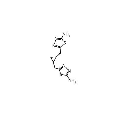 Nc1nnc(CC2C[C@H]2Cc2nnc(N)s2)s1